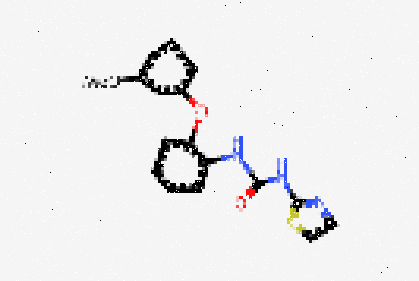 COc1cccc(Oc2ccccc2NC(=O)Nc2nccs2)c1